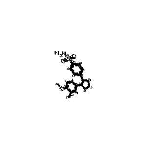 COc1ccc(C2=C(c3ccc(S(N)(=O)=O)cc3)CCC2)cc1C